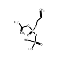 C=CCOP(=O)(OC(=C)C)OP(=O)(O)O